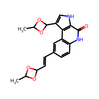 CC1OC(/C=C/c2ccc3[nH]c(=O)c4[nH]cc(C5OC(C)O5)c4c3c2)O1